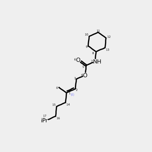 C/C(=C\COC(=O)NC1CCCCC1)CCCC(C)C